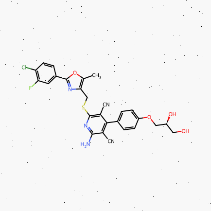 Cc1oc(-c2ccc(Cl)c(F)c2)nc1CSc1nc(N)c(C#N)c(-c2ccc(OC[C@@H](O)CO)cc2)c1C#N